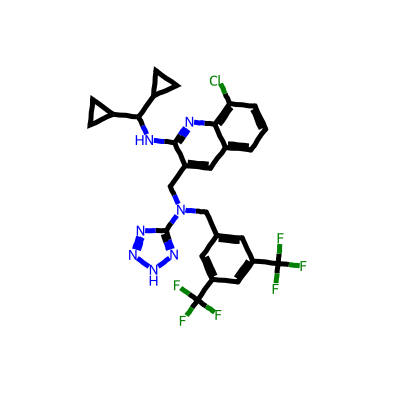 FC(F)(F)c1cc(CN(Cc2cc3cccc(Cl)c3nc2NC(C2CC2)C2CC2)c2nn[nH]n2)cc(C(F)(F)F)c1